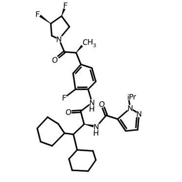 CC(C)n1nccc1C(=O)N[C@H](C(=O)Nc1ccc([C@H](C)C(=O)N2C[C@@H](F)[C@@H](F)C2)cc1F)C(C1CCCCC1)C1CCCCC1